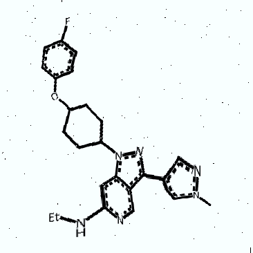 CCNc1cc2c(cn1)c(-c1cnn(C)c1)nn2C1CCC(Oc2ccc(F)cc2)CC1